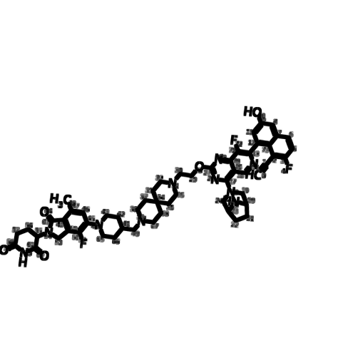 C#Cc1c(F)ccc2cc(O)cc(-c3ncc4c(N5CC6CCC(C5)N6)nc(OCCN5CCC6(CC5)CCN(CC5CCN(c7cc(C)c8c(c7F)CN(C7CCC(=O)NC7=O)C8=O)CC5)CC6)nc4c3F)c12